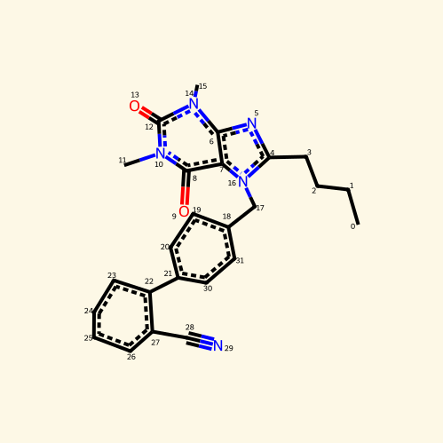 CCCCc1nc2c(c(=O)n(C)c(=O)n2C)n1Cc1ccc(-c2ccccc2C#N)cc1